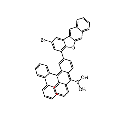 OB(O)c1c2ccccc2c(-c2ccccc2-c2ccccc2)c2cc(-c3cc(Br)cc4c3oc3cc5ccccc5cc34)ccc12